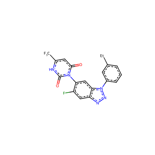 CCc1cccc(-n2nnc3cc(F)c(-n4c(=O)cc(C(F)(F)F)[nH]c4=O)cc32)c1